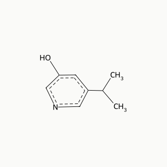 CC(C)c1cncc(O)c1